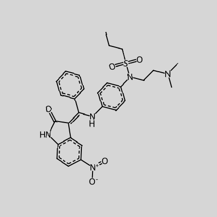 CCCS(=O)(=O)N(CCN(C)C)c1ccc(NC(=C2C(=O)Nc3ccc([N+](=O)[O-])cc32)c2ccccc2)cc1